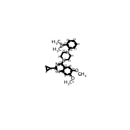 COc1cc2nc(C3CC3)nc(N3CCN(c4ccccc4N(C)C)CC3)c2cc1OC